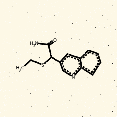 CCSC(C(N)=O)c1cnc2ccccc2c1